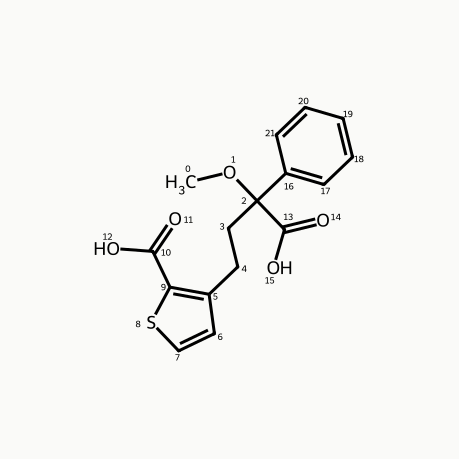 COC(CCc1ccsc1C(=O)O)(C(=O)O)c1ccccc1